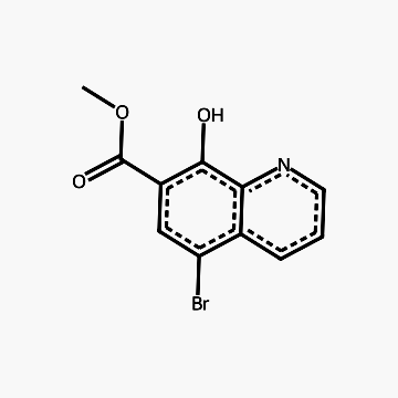 COC(=O)c1cc(Br)c2cccnc2c1O